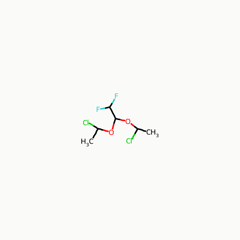 CC(Cl)OC(OC(C)Cl)C(F)F